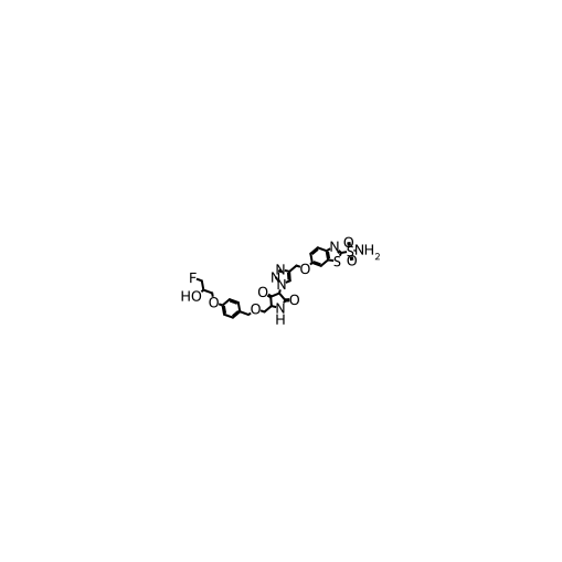 NS(=O)(=O)c1nc2ccc(OCc3cn(C4C(=O)NC(COCc5ccc(OCC(O)CF)cc5)C4=O)nn3)cc2s1